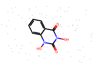 O=c1c2ccccc2n(O)c(=O)n1O